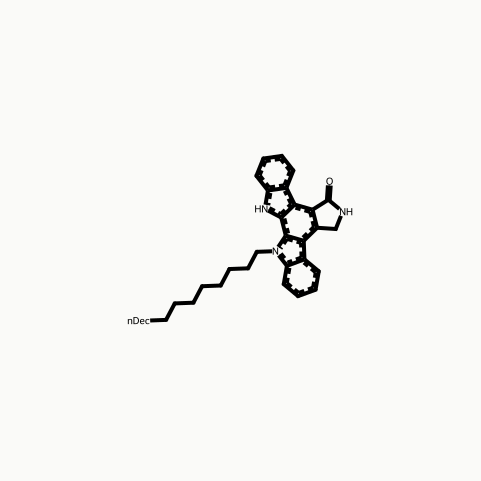 CCCCCCCCCCCCCCCCCCn1c2ccccc2c2c3c(c4c5ccccc5[nH]c4c21)C(=O)NC3